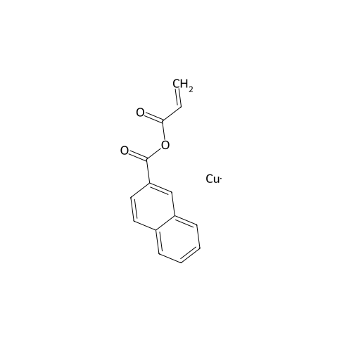 C=CC(=O)OC(=O)c1ccc2ccccc2c1.[Cu]